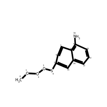 COOOSc1ccc2c(N)cccc2c1